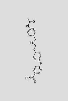 CC(=O)Nc1ccc(CNCCc2ccc(Oc3ccc(C(N)=O)cn3)cc2)cc1